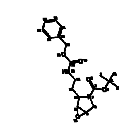 CC(C)(C)OC(=O)N1CC2OC2C1CCNC(=O)OCc1ccccc1